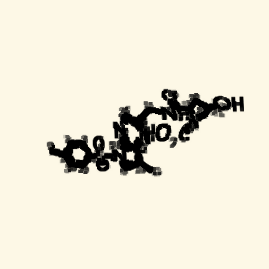 Cc1ccc(S(=O)(=O)n2cc(C)c3nc(CNC(=O)C4CC(O)CN4C(=O)O)cnc32)cc1